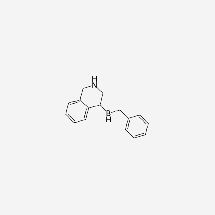 B(Cc1ccccc1)C1CNCc2ccccc21